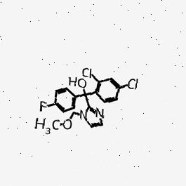 COCn1ccnc1C(O)(c1ccc(F)cc1)c1ccc(Cl)cc1Cl